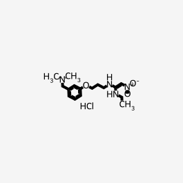 CCNC(=C[N+](=O)[O-])NCCCOc1cccc(CN(C)C)c1.Cl